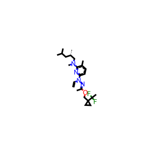 C=CN(/N=C(\C)OCC1(C(C)(F)F)CC1)c1ccc(C)c(N(C)C[C@@H](C)CC(C)C)n1